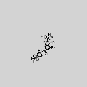 CC(O)c1nc2cc(C(=O)Nc3ccc(OC(F)(F)Cl)cc3)cc(Br)c2n1C(C)C